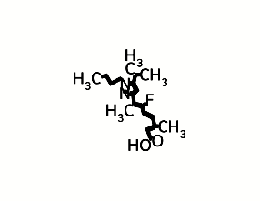 CCCCn1nc(C(C)=C(F)C=CC(C)=CC(=O)O)cc1C(C)C